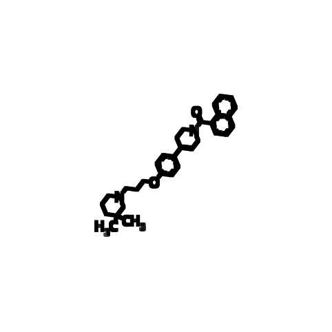 CC1(C)CCCN(CCCOc2ccc(C3=CCN(C(=O)c4cccc5ccccc45)CC3)cc2)C1